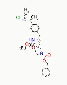 C=C(/C=C(\C)Cl)c1ccc(C[C@H](CC2(C(=O)O)CCN(C(=O)OCc3ccccc3)C2)NC(=O)OC(C)(C)C)cc1